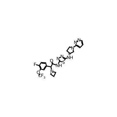 O=C(Nc1nnc(N[C@@H]2CCN(c3cccnn3)C2)s1)C(c1ccc(F)c(OC(F)(F)F)c1)N1CCC1